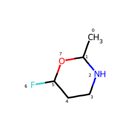 CC1NCCC(F)O1